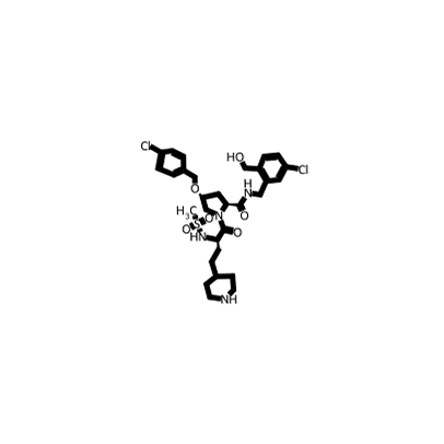 CS(=O)(=O)N[C@H](CCC1CCNCC1)C(=O)N1C[C@H](OCc2ccc(Cl)cc2)C[C@H]1C(=O)NCc1cc(Cl)ccc1CO